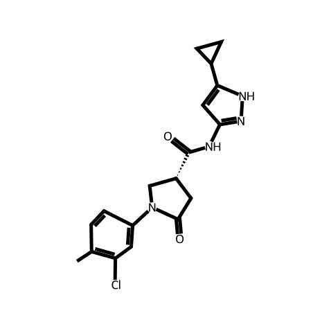 Cc1ccc(N2C[C@H](C(=O)Nc3cc(C4CC4)[nH]n3)CC2=O)cc1Cl